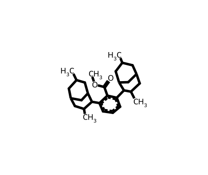 COC(=O)c1c(C2C(C)CC3CC(C)CC2C3)cccc1C1C(C)CC2CC(C)CC1C2